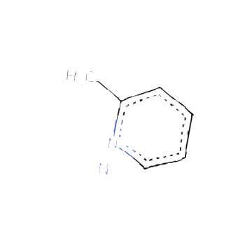 Cc1ccccn1.[N]